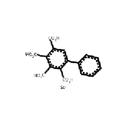 O=C(O)c1cc(-c2ccccc2)c(C(=O)O)c(C(=O)O)c1C(=O)O.[Sc]